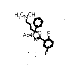 CC(=O)N1N=C(c2cc(F)ccc2F)OC1(CCCN(C)C)c1ccccc1